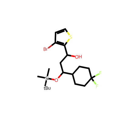 CC(C)(C)[Si](C)(C)OC(CC(O)c1sccc1Br)C1CCC(F)(F)CC1